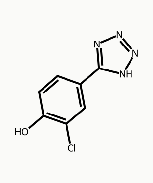 Oc1ccc(-c2nnn[nH]2)cc1Cl